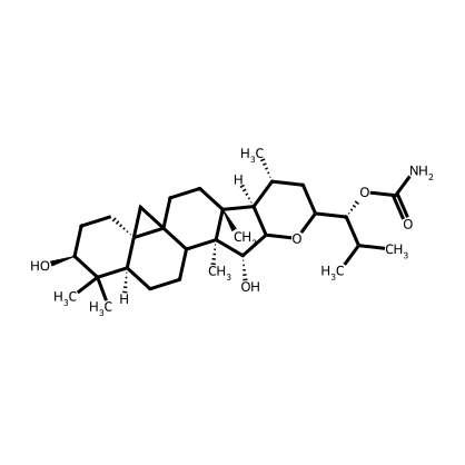 CC(C)[C@@H](OC(N)=O)C1C[C@@H](C)[C@H]2C(O1)[C@H](O)[C@@]1(C)C3CC[C@H]4C(C)(C)[C@@H](O)CC[C@@]45CC35CC[C@]21C